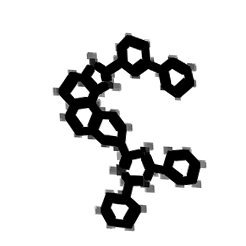 c1ccc(-c2cccc(-c3nc4c(ccc5ccc6cc(-c7nc(-c8ccccc8)nc(-c8ccccc8)n7)ccc6c54)s3)c2)cc1